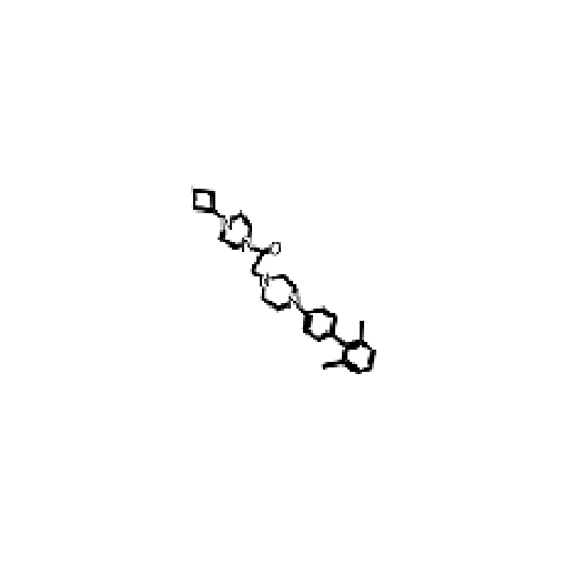 Cc1cccc(C)c1-c1ccc(N2CCN(CC(=O)N3CCN(C4CCC4)CC3)CC2)cc1